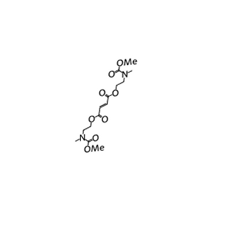 COC(=O)N(C)CCOC(=O)/C=C/C(=O)OCCN(C)C(=O)OC